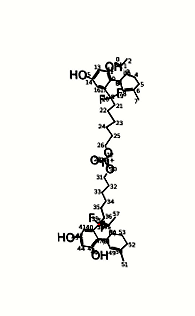 C=C(C)[C@@H]1CCC(C)=C[C@H]1c1c(O)cc(O)cc1C(F)(F)CCCCCCO[N+](=O)OCCCCCCC(F)(F)c1cc(O)cc(O)c1[C@@H]1C=C(C)CC[C@H]1C(=C)C